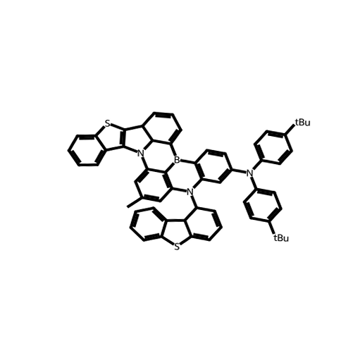 Cc1cc2c3c(c1)N1c4c(sc5ccccc45)C4C=CC=C(B3c3ccc(N(c5ccc(C(C)(C)C)cc5)c5ccc(C(C)(C)C)cc5)cc3N2C2C=CC=C3Sc5ccccc5C32)C41